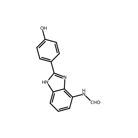 O=[C]Nc1cccc2[nH]c(-c3ccc(O)cc3)nc12